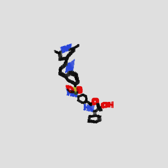 Cc1cc(-c2ccc3cc(S(=O)(=O)N[C@H]4CC[C@H](C(=O)NC(c5ccccc5)C(C)(C)O)CC4)ccc3n2)cc(C)n1